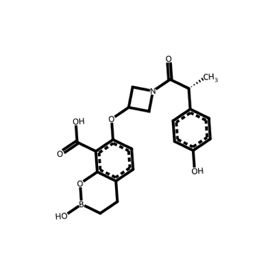 C[C@@H](C(=O)N1CC(Oc2ccc3c(c2C(=O)O)OB(O)CC3)C1)c1ccc(O)cc1